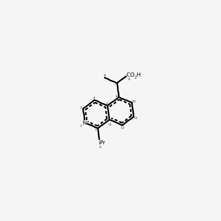 CC(C)c1nccc2c(C(C)C(=O)O)cccc12